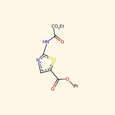 CCOC(=O)C(=O)Nc1ncc(C(=O)OC(C)C)s1